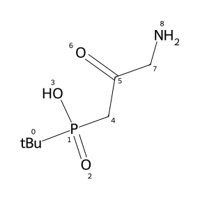 CC(C)(C)P(=O)(O)CC(=O)CN